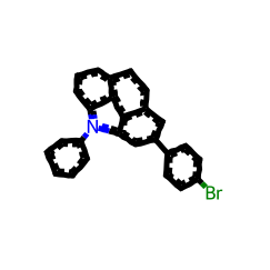 Brc1ccc(-c2cc3ccc4cccc5c4c3c(c2)n5-c2ccccc2)cc1